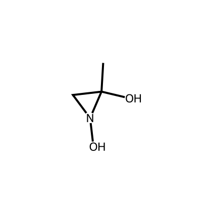 CC1(O)CN1O